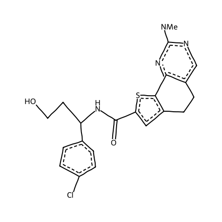 CNc1ncc2c(n1)-c1sc(C(=O)NC(CCO)c3ccc(Cl)cc3)cc1CC2